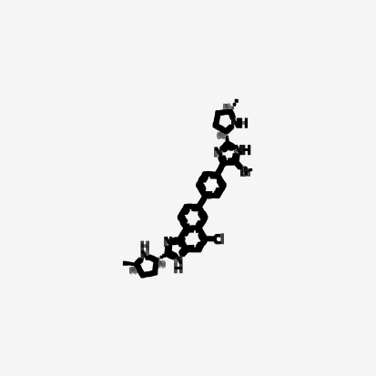 C[C@@H]1CC[C@@H](c2nc3c(cc(Cl)c4cc(-c5ccc(-c6nc([C@@H]7CC[C@H](C)N7)[nH]c6Br)cc5)ccc43)[nH]2)N1